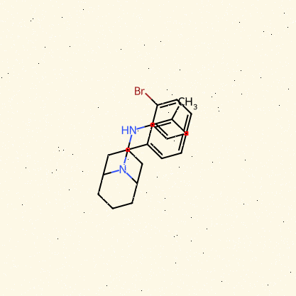 Cc1cccc(CN2C3CCCC2CC(Nc2ccccc2Br)C3)c1